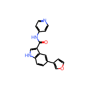 O=C(Nc1ccncc1)c1c[nH]c2ccc(-c3ccoc3)cc12